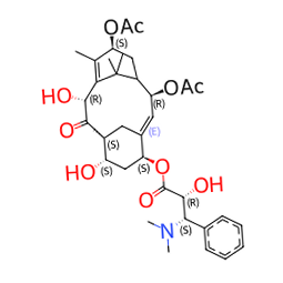 CC(=O)O[C@H]1CC2[C@@H](OC(C)=O)/C=C3\C[C@](C)(C(=O)[C@H](O)C(=C1C)C2(C)C)[C@@H](O)C[C@@H]3OC(=O)[C@H](O)[C@H](c1ccccc1)N(C)C